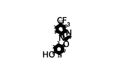 Oc1ccc(Oc2cnc3cc(C(F)(F)F)ccc3n2)cc1